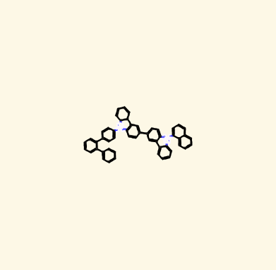 C1=CC2c3cc(-c4ccc5c(c4)c4ccccc4n5-c4cccc5ccccc45)ccc3N(c3ccc(-c4ccccc4-c4ccccc4)cc3)C2C=C1